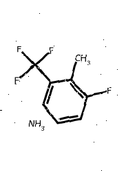 Cc1c(F)cccc1C(F)(F)F.N